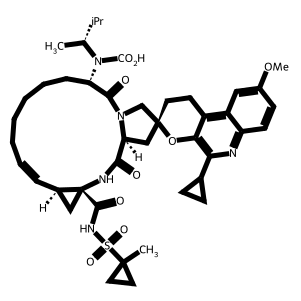 COc1ccc2nc(C3CC3)c3c(c2c1)CC[C@]1(C[C@H]2C(=O)N[C@]4(C(=O)NS(=O)(=O)C5(C)CC5)C[C@H]4/C=C\CCCCC[C@H](N(C(=O)O)[C@H](C)C(C)C)C(=O)N2C1)O3